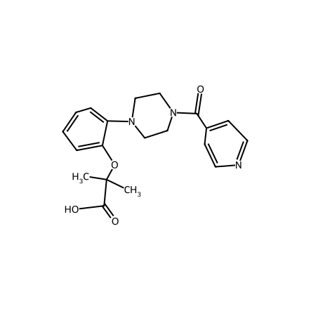 CC(C)(Oc1ccccc1N1CCN(C(=O)c2ccncc2)CC1)C(=O)O